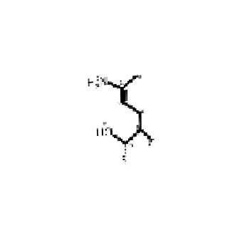 C/C(N)=C\CC(C)[C@H](C)O